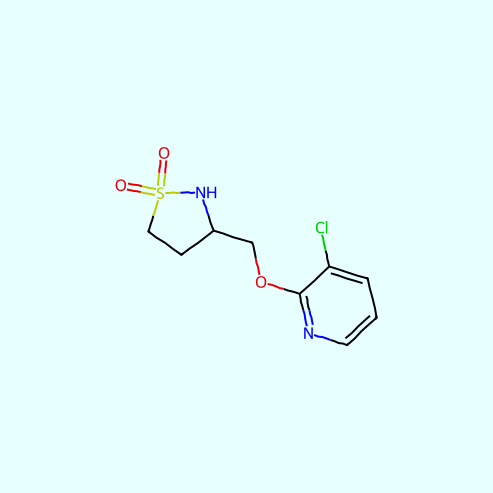 O=S1(=O)CCC(COc2ncccc2Cl)N1